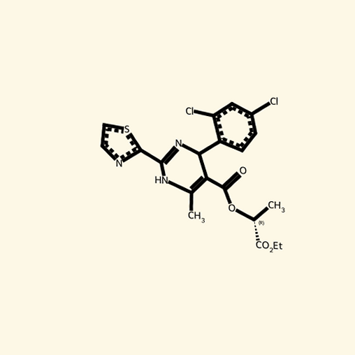 CCOC(=O)[C@@H](C)OC(=O)C1=C(C)NC(c2nccs2)=NC1c1ccc(Cl)cc1Cl